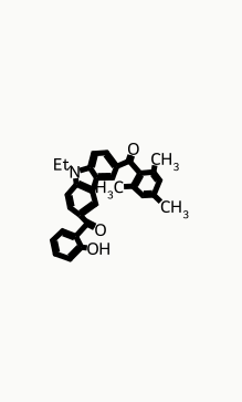 CCn1c2ccc(C(=O)c3ccccc3O)cc2c2cc(C(=O)c3c(C)cc(C)cc3C)ccc21